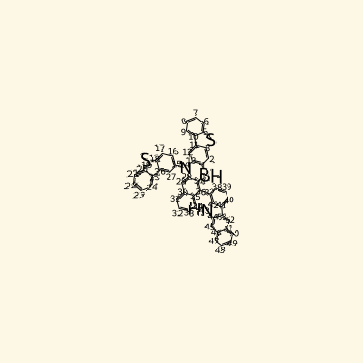 B1c2cc3sc4ccccc4c3cc2N(c2ccc3sc4ccccc4c3c2)c2cc3ccccc3c(-c3cccc4c3[nH]c3cc5ccccc5cc34)c21